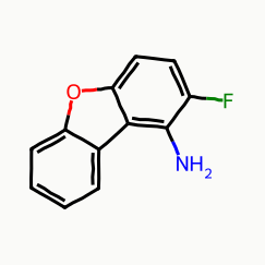 Nc1c(F)ccc2oc3ccccc3c12